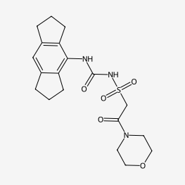 O=C(Nc1c2c(cc3c1CCC3)CCC2)NS(=O)(=O)CC(=O)N1CCOCC1